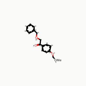 COCOc1ccc(C(=O)COCc2ccccc2)cc1